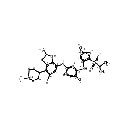 CC1Cc2c(c(Nc3ncc(Cl)c(Nc4cn(C)nc4S(=O)(=O)C(C)C)n3)cc(F)c2C2CCN(C)CC2)O1